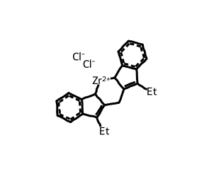 CCC1=C2CC3=C(CC)c4ccccc4[CH]3[Zr+2][CH]2c2ccccc21.[Cl-].[Cl-]